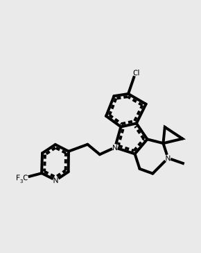 CN1CCc2c(c3cc(Cl)ccc3n2CCc2ccc(C(F)(F)F)nc2)C12CC2